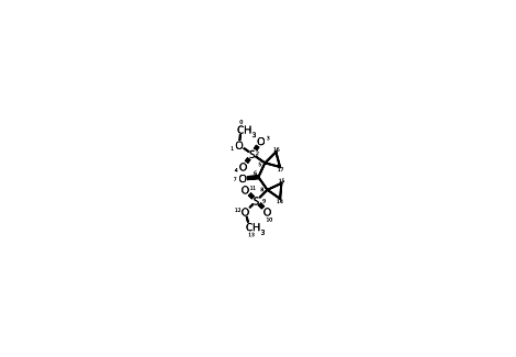 COS(=O)(=O)C1(C(=O)C2(S(=O)(=O)OC)CC2)CC1